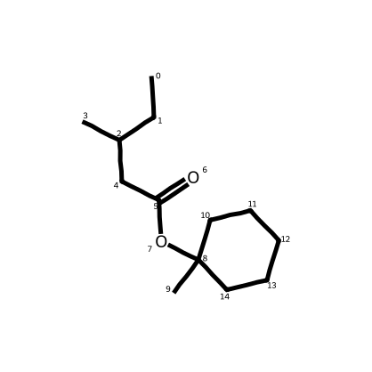 CCC(C)CC(=O)OC1(C)CCCCC1